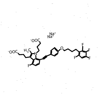 Cc1c(CCCC(=O)[O-])c2c(F)ccc(C#Cc3ccc(OCCCCc4c(F)cc(F)c(F)c4F)cc3)c2n1CCCC(=O)[O-].[Na+].[Na+]